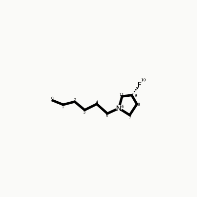 CCCCCCN1CC[C@@H](F)C1